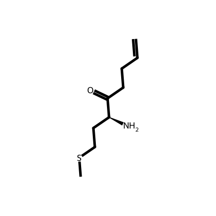 C=CCCC(=O)[C@@H](N)CCSC